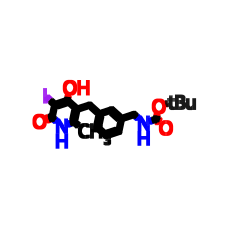 Cc1[nH]c(=O)c(I)c(O)c1Cc1cccc(CNC(=O)OC(C)(C)C)c1